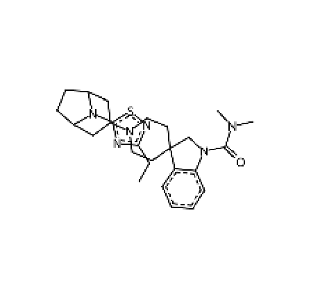 CCc1nsc(N2C3CCC2CC(N2CCC4(CC2)CN(C(=O)N(C)C)c2ccccc24)C3)n1